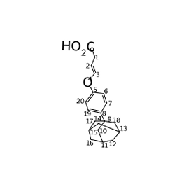 O=C(O)CC=COc1ccc(C23CC4CC(CC(C4)C2)C3)cc1